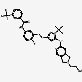 CC(C)(C)n1nc(CCc2cc(NC(=O)c3cccc(C(F)(F)F)c3)ccc2F)cc1Nc1cc2c(cn1)CN(CCO)C2